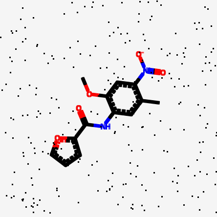 COc1cc([N+](=O)[O-])c(C)cc1NC(=O)c1ccco1